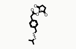 CC(C)SSCc1ccc(CC(=O)ON2C(=O)CCC2=O)cc1